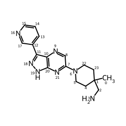 CC1(CN)CCN(c2cnc3c(-c4cccnc4)n[nH]c3n2)CC1